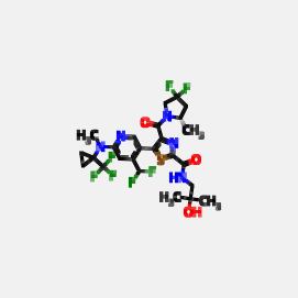 C[C@H]1CC(F)(F)CN1C(=O)c1nc(C(=O)NCC(C)(C)O)sc1-c1cnc(N(C)C2(C(F)(F)F)CC2)cc1C(F)F